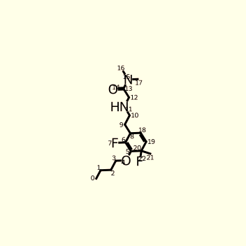 CCCCOC1=C(F)C(CCNCC(=O)N(C)C)C=CC1(C)F